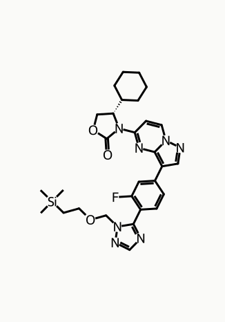 C[Si](C)(C)CCOCn1ncnc1-c1ccc(-c2cnn3ccc(N4C(=O)OC[C@@H]4C4CCCCC4)nc23)cc1F